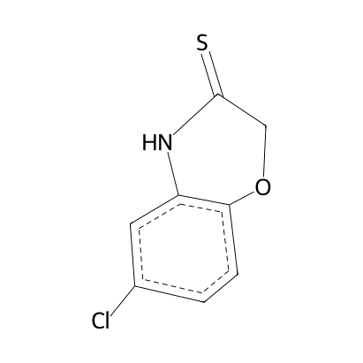 S=C1COc2ccc(Cl)cc2N1